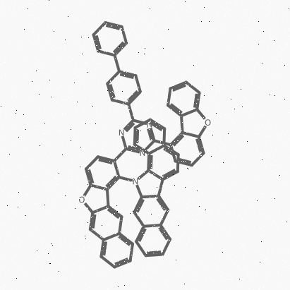 c1ccc(-c2ccc(-c3nc(-c4ccc5oc6cc7ccccc7cc6c5c4-n4c5cc6ccccc6cc5c5ccc6ccccc6c54)nc(-c4cccc5oc6ccccc6c45)n3)cc2)cc1